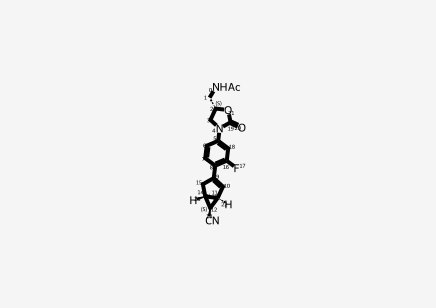 CC(=O)NC[C@H]1CN(c2ccc(C3=C[C@H]4[C@@H](C#N)[C@@H]4C3)c(F)c2)C(=O)O1